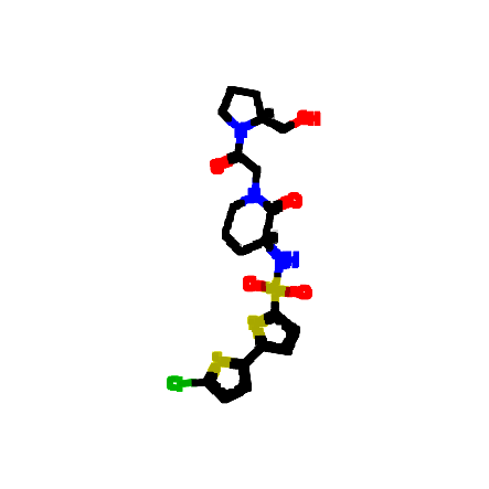 O=C1[C@@H](NS(=O)(=O)c2ccc(-c3ccc(Cl)s3)s2)CCCN1CC(=O)N1CCC[C@H]1CO